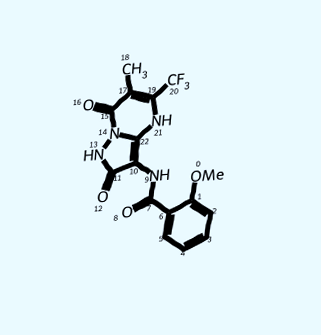 COc1ccccc1C(=O)Nc1c(=O)[nH]n2c(=O)c(C)c(C(F)(F)F)[nH]c12